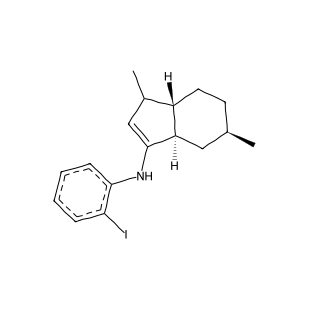 CC1C=C(Nc2ccccc2I)[C@@H]2C[C@H](C)CC[C@@H]12